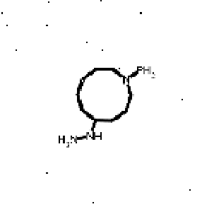 NNC1CCCCCN(P)CCC1